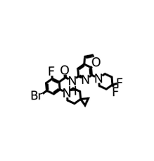 O=C(Nc1cc2ccoc2c(N2CCC(F)(F)CC2)n1)c1c(F)cc(Br)cc1N1CCC2(CC1)CC2